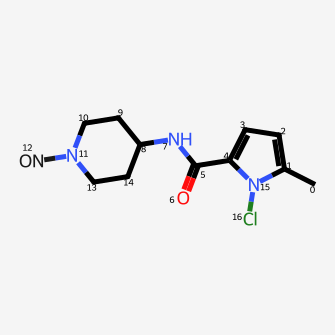 Cc1ccc(C(=O)NC2CCN(N=O)CC2)n1Cl